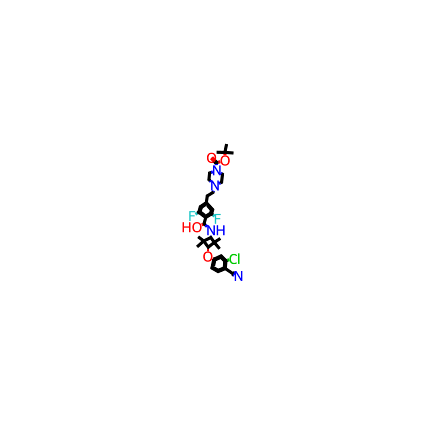 CC(C)(C)OC(=O)N1CCN(CCc2cc(F)c(C(O)N[C@H]3C(C)(C)[C@H](Oc4ccc(C#N)c(Cl)c4)C3(C)C)c(F)c2)CC1